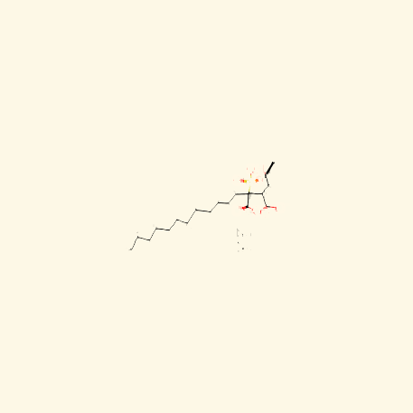 C=CCC(C(=O)[O-])C(CCCCCCCCCCCC)(C(=O)[O-])S(=O)(=O)O.[Na+].[Na+]